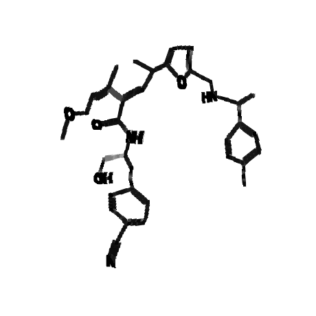 COC/C=C(C)\C(=C/C(C)c1ccc(CNC(C)c2ccc(C)cc2)o1)C(=O)N[C@@H](CO)Cc1ccc(C#N)cc1